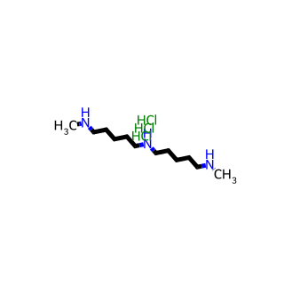 CNCCCCCNCCCCCNC.Cl.Cl.Cl